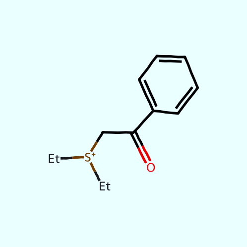 CC[S+](CC)CC(=O)c1ccccc1